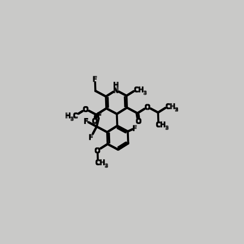 COC(=O)C1=C(CF)NC(C)=C(C(=O)OC(C)C)C1c1c(F)ccc(OC)c1C(F)(F)F